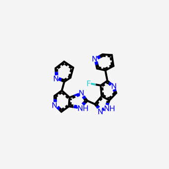 Fc1c(-c2cccnc2)ncc2[nH]nc(-c3nc4c(-c5ccccn5)cncc4[nH]3)c12